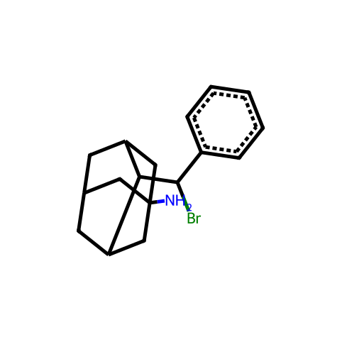 NC12CC3CC(C1)C(C(Br)c1ccccc1)C(C3)C2